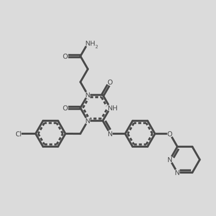 NC(=O)CCn1c(=O)[nH]/c(=N\c2ccc(OC3=NN=CCC3)cc2)n(Cc2ccc(Cl)cc2)c1=O